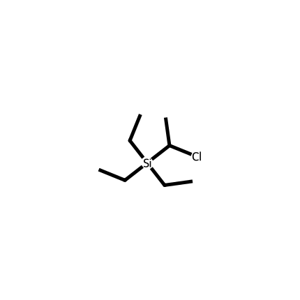 CC[Si](CC)(CC)C(C)Cl